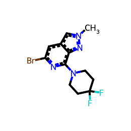 Cn1cc2cc(Br)nc(N3CCC(F)(F)CC3)c2n1